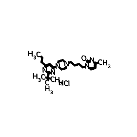 CCCc1cc(N2CCN(CCCCn3ccc(C)nc3=O)CC2)nc(C(C)(C)C)n1.Cl